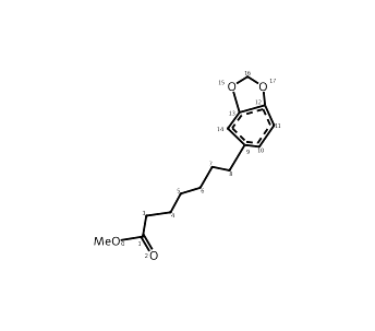 COC(=O)CCCCCCc1ccc2c(c1)OCO2